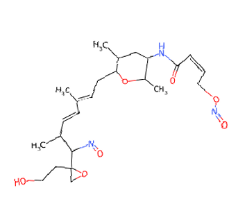 CC(/C=C/C(C)C(N=O)C1(CCO)CO1)=C\CC1OC(C)C(NC(=O)/C=C\CON=O)CC1C